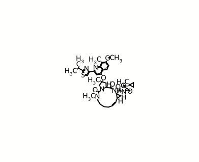 COc1ccc2c(O[C@]3(C)C[C@H]4C(=O)N[C@]5(C(=O)NS(=O)(=O)C6(C)CC6)C[C@H]5/C=C\CCCCN(C)C(=O)N4C3)cc(-c3csc(C(C)C)n3)nc2c1C